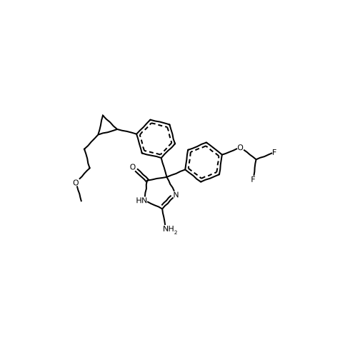 COCCC1CC1c1cccc(C2(c3ccc(OC(F)F)cc3)N=C(N)NC2=O)c1